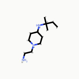 CCC(C)(C)NC1CCN(CCN)CC1